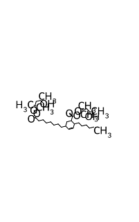 CCCCCCC1C=CC(CCCCCCCC(=O)OOC(C)(C)CC(C)O)CC1C(=O)OOC(C)(C)CC(C)O